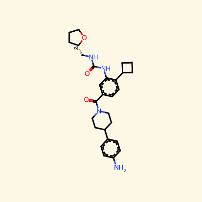 Nc1ccc(C2CCN(C(=O)c3ccc(C4CCC4)c(NC(=O)NC[C@@H]4CCCO4)c3)CC2)cc1